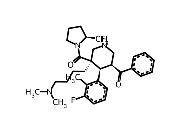 Cc1c(F)cccc1[C@@H]1[C@H](C(=O)c2ccccc2)CNC[C@]1(CCCCN(C)C)C(=O)N1CCC[C@H]1C(F)(F)F